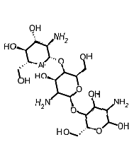 NC1C(O)O[C@H](CO)C(O[C@@H]2O[C@H](CO)C(O[C@@H]3[Al][C@H](CO)[C@@H](O)[C@H](O)[C@H]3N)[C@H](O)C2N)C1O